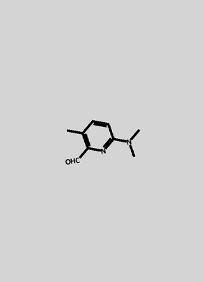 Cc1ccc(N(C)C)nc1C=O